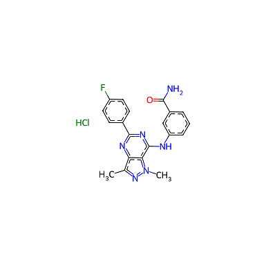 Cc1nn(C)c2c(Nc3cccc(C(N)=O)c3)nc(-c3ccc(F)cc3)nc12.Cl